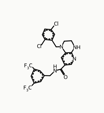 O=C(NCc1cc(C(F)(F)F)cc(C(F)(F)F)c1)c1cnc2c(c1)N(Cc1cc(Cl)ccc1Cl)CCN2